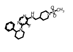 CS(=O)(=O)N1CCC(CNc2ncnc(N3CCCCC3c3ccccc3)c2F)CC1